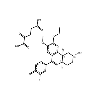 CCOc1cc2c(cc1OC)C(c1ccc(=O)n(C)c1)=N[C@@H]1CC[C@@H](O)C[C@H]21.O=C(O)CCC(=O)C(=O)O